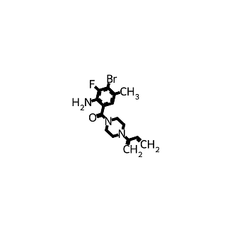 C=CC(=C)N1CCN(C(=O)c2cc(C)c(Br)c(F)c2N)CC1